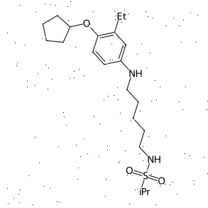 CCc1cc(NCCCCCNS(=O)(=O)C(C)C)ccc1OC1CCCC1